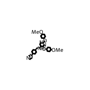 COc1ccc(Oc2ncc(NCc3ccc(-n4ccnc4)cc3)c(Oc3ccc(OC)cc3)n2)cc1